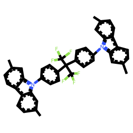 Cc1ccc2c3ccc(C)cc3n(-c3ccc(C(c4ccc(-n5c6cc(C)ccc6c6ccc(C)cc65)cc4)(C(F)(F)F)C(F)(F)F)cc3)c2c1